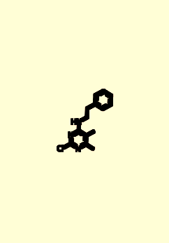 Cc1nc(Cl)nc(NCCc2ccccc2)c1C